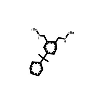 CCCCPCc1ccc(C(C)(C)c2ccccc2)cc1CPCCCC